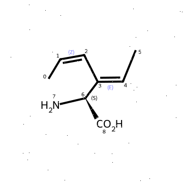 C/C=C\C(=C/C)[C@H](N)C(=O)O